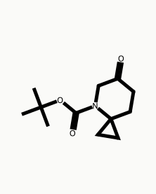 CC(C)(C)OC(=O)N1CC(=O)CCC12CC2